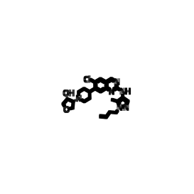 C=CCCn1ncc(Nc2ncc3cc(Cl)c(C4CCN([C@@H]5COC[C@@H]5O)CC4)cc3n2)c1C